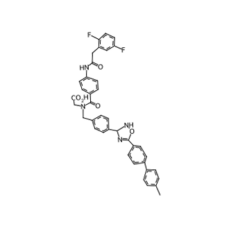 Cc1ccc(-c2ccc(C3=NC(c4ccc(CN(CC(=O)O)C(=O)c5ccc(NC(=O)Cc6cc(F)ccc6F)cc5)cc4)NO3)cc2)cc1